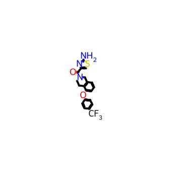 Nc1nc(C(=O)N2CCc3c(cccc3Oc3ccc(C(F)(F)F)cc3)C2)cs1